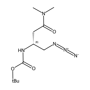 CN(C)C(=O)C[C@H](CN=[N+]=[N-])NC(=O)OC(C)(C)C